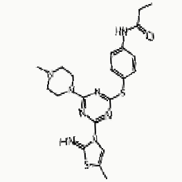 CCC(=O)Nc1ccc(Sc2nc(N3CCN(C)CC3)nc(-n3cc(C)sc3=N)n2)cc1